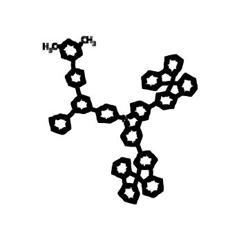 Cc1cc(C)cc(-c2ccc(-c3cc(-c4ccccc4)cc(-c4ccc(-n5c6ccc(-c7ccc8c(c7)C7(c9ccccc9-c9ccccc97)c7ccccc7-8)cc6c6cc(-c7ccc8c(c7)C7(c9ccccc9-c9ccccc97)c7ccccc7-8)ccc65)cc4)c3)cc2)c1